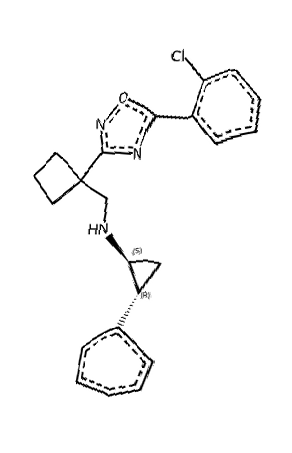 Clc1ccccc1-c1nc(C2(CN[C@H]3C[C@@H]3c3ccccc3)CCC2)no1